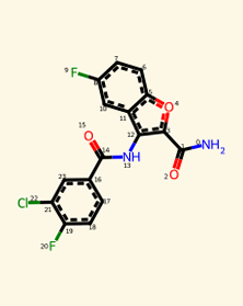 NC(=O)c1oc2ccc(F)cc2c1NC(=O)c1ccc(F)c(Cl)c1